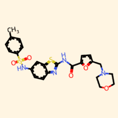 Cc1ccc(S(=O)(=O)Nc2ccc3nc(NC(=O)c4ccc(CN5CCOCC5)o4)sc3c2)cc1